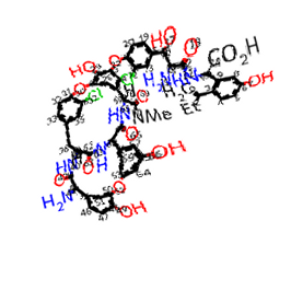 C=C(CC)c1ccc(O)cc1[C@H](NC(=O)[C@@H](N)[C@H](O)c1ccc(Oc2cc3cc(c2O)Oc2ccc(cc2Cl)C[C@H]2NC(=O)C(N)c4ccc(O)c(c4)Oc4cc(O)cc(c4)C(NC2=O)C(=O)N[C@H]3C(=O)NC)c(Cl)c1)C(=O)O